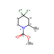 CC(C)(C)OC(=O)N1CCC(F)(F)CC1C(C)(C)C